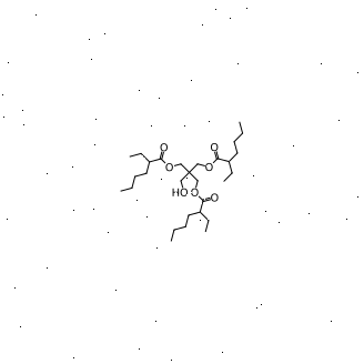 CCCCC(CC)C(=O)OCC(CO)(COC(=O)C(CC)CCCC)COC(=O)C(CC)CCCC